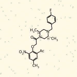 CC(=O)c1cc(C)cc([N+](=O)[O-])c1OCC(=O)N1C[C@@H](C)N(Cc2ccc(F)cc2)C[C@@H]1C